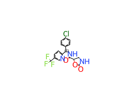 O=C1NCC(C(=O)N[C@@H](c2ccc(Cl)cc2)c2ccc(C(F)(F)F)cn2)O1